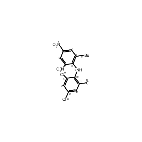 CCC(C)c1cc([N+](=O)[O-])cc([N+](=O)[O-])c1Nc1c(Cl)cc(Cl)cc1Cl